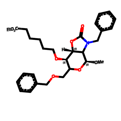 CCOC(=O)CCCCCO[C@@H]1C(COCc2ccccc2)O[C@H](OC)C2[C@H]1OC(=O)N2Cc1ccccc1